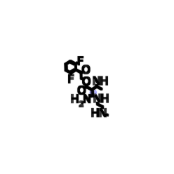 CNCCN/C(N)=C(\C(C)=N)C(=O)OCC(=O)c1c(F)cccc1F